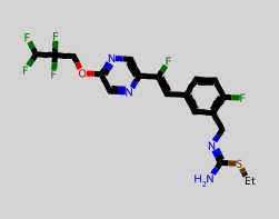 CCS/C(N)=N\Cc1cc(/C=C(\F)c2cnc(OCC(F)(F)C(F)F)cn2)ccc1F